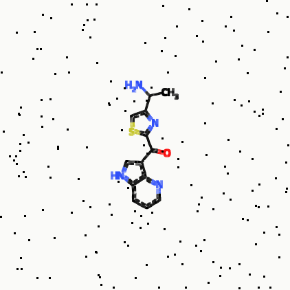 CC(N)c1csc(C(=O)c2c[nH]c3cccnc23)n1